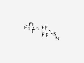 N#CSCCC(F)(F)C(F)(F)CCC(F)(F)C(F)(F)F